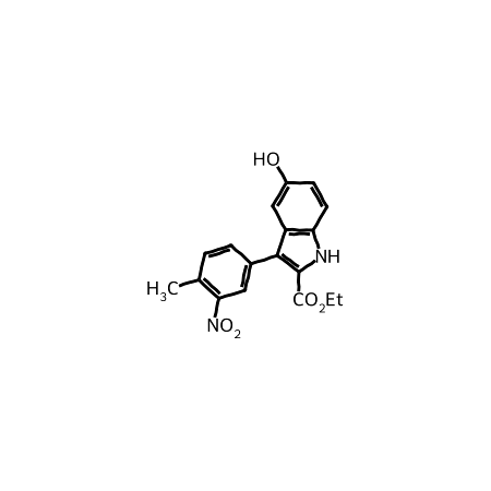 CCOC(=O)c1[nH]c2ccc(O)cc2c1-c1ccc(C)c([N+](=O)[O-])c1